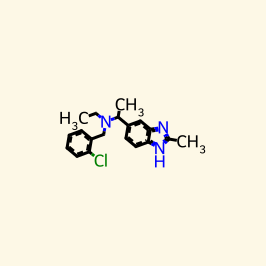 CCN(Cc1ccccc1Cl)C(C)c1ccc2[nH]c(C)nc2c1